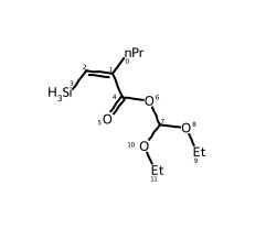 CCCC(=C[SiH3])C(=O)OC(OCC)OCC